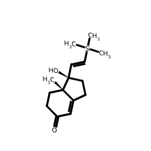 C[C@]12CCC(=O)C=C1CC[C@@]2(O)C=C[Si](C)(C)C